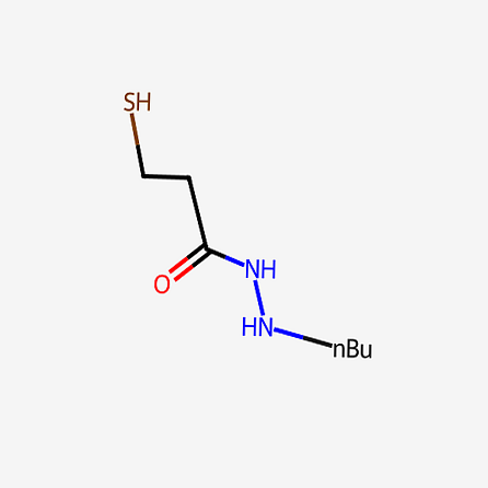 CCCCNNC(=O)CCS